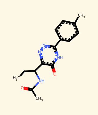 CCC(NC(C)=O)c1nnc(-c2ccc(C)cc2)[nH]c1=O